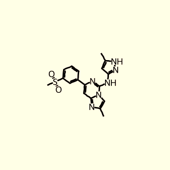 Cc1cn2c(Nc3cc(C)[nH]n3)nc(-c3cccc(S(C)(=O)=O)c3)cc2n1